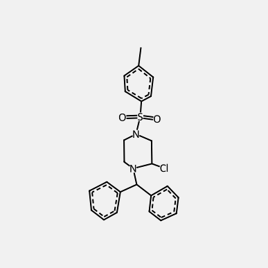 Cc1ccc(S(=O)(=O)N2CCN(C(c3ccccc3)c3ccccc3)C(Cl)C2)cc1